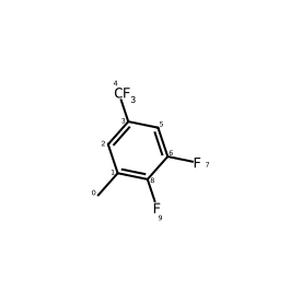 Cc1cc(C(F)(F)F)cc(F)c1F